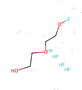 F.F.F.F.OCCOCCOF